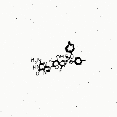 Cc1ccc(OP(=S)(OC[C@@]2(C(F)F)O[C@@H](n3cnc4c(=O)[nH]c(N)nc43)[C@@H](F)[C@@H]2O)Oc2ccc(C)cc2)cc1